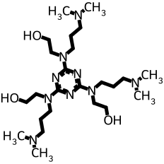 CN(C)CCCN(CCO)c1nc(N(CCO)CCCN(C)C)nc(N(CCO)CCCN(C)C)n1